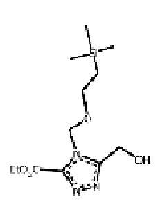 CCOC(=O)c1nnc(CO)n1COCC[Si](C)(C)C